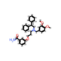 COc1ccc(CN(CCCOc2cccc(C(N)=O)c2)CC(c2ccccc2)c2ccccc2)cc1OC